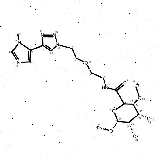 CC(C)O[C@@H]1OC(C(=O)NCCOCCn2cc(-c3cncn3C)nn2)[C@@H](OC(C)C)[C@H](O)[C@@H]1O